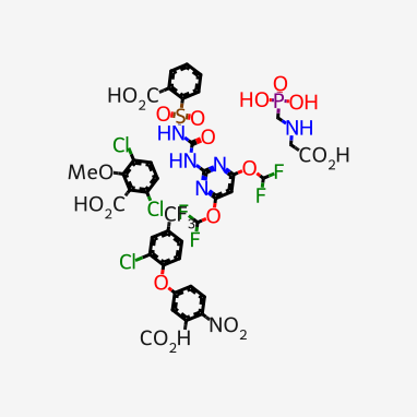 COc1c(Cl)ccc(Cl)c1C(=O)O.O=C(Nc1nc(OC(F)F)cc(OC(F)F)n1)NS(=O)(=O)c1ccccc1C(=O)O.O=C(O)CNCP(=O)(O)O.O=C(O)c1cc(Oc2ccc(C(F)(F)F)cc2Cl)ccc1[N+](=O)[O-]